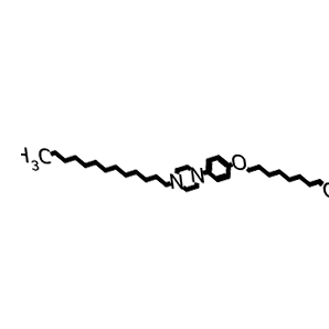 C=CCCCCCCCOc1ccc(N2CCN(CCCCCCCCCCCCC)CC2)cc1